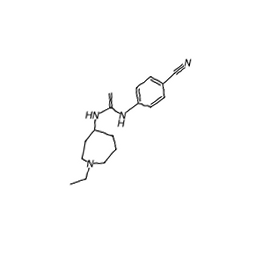 C=C(Nc1ccc(C#N)cc1)NC1CCCN(CC)CC1